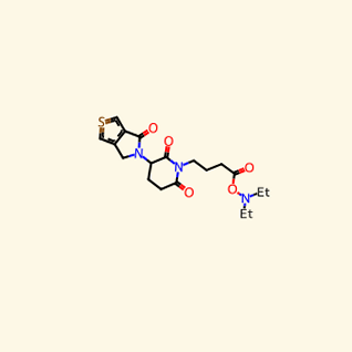 CCN(CC)OC(=O)CCCN1C(=O)CCC(N2Cc3cscc3C2=O)C1=O